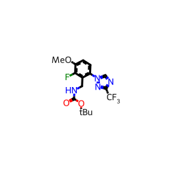 COc1ccc(-n2cnc(C(F)(F)F)n2)c(CNC(=O)OC(C)(C)C)c1F